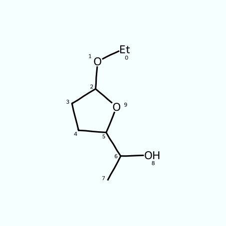 CCOC1CCC(C(C)O)O1